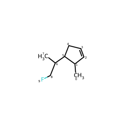 CC1C=CCC1C(C)CF